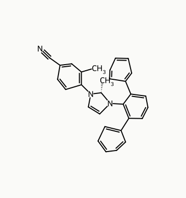 Cc1cc(C#N)ccc1N1C=CN(c2c(-c3ccccc3)cccc2-c2ccccc2)[C@H]1C